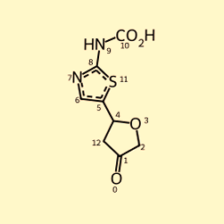 O=C1COC(c2cnc(NC(=O)O)s2)C1